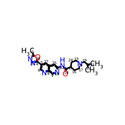 Cc1nnc(-c2cnc3cnc(NC(=O)C4CCN(CC(C)C)CC4)cc3c2)o1